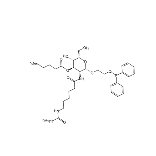 CCCCCCCCCCCCCC(=O)O[C@H]1[C@H](O)[C@@H](CO)O[C@H](OCCOP(c2ccccc2)c2ccccc2)[C@H]1NC(=O)CCCCCNC(=O)CCCCCCC